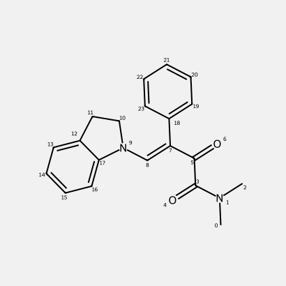 CN(C)C(=O)C(=O)/C(=C/N1CCc2ccccc21)c1ccccc1